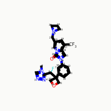 Cn1cnnc1[C@H](F)C1(c2cccc(-n3cc4c(C(F)(F)F)cc(CN5CCC5)cn4c3=O)c2)COC1